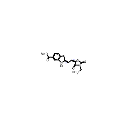 CCN1/C(=C/C=C2/SC(=S)N(CC(=O)O)C2=O)Oc2ccc(C(=O)OC)cc21